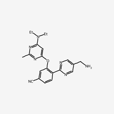 CCN(CC)c1cc(Oc2cc(C#N)ccc2-c2ncc(CN)cn2)nc(C)n1